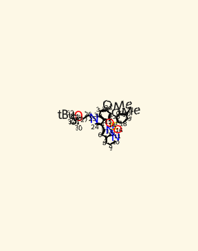 COc1cc2c(-c3cc4cccnc4n3S(=O)(=O)c3ccc(C)cc3)cn(CCO[Si](C)(C)C(C)(C)C)c2cc1OC